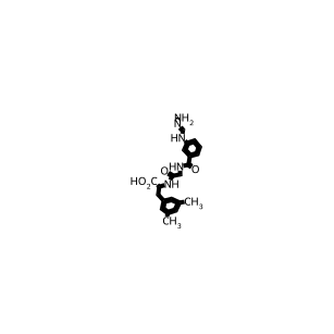 Cc1cc(C)cc(CC(NC(=O)CNC(=O)c2cccc(NC=NN)c2)C(=O)O)c1